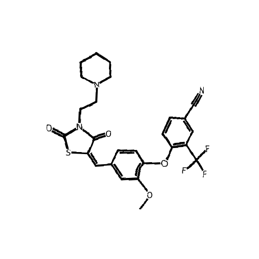 COc1cc(C=C2SC(=O)N(CCN3CCCCC3)C2=O)ccc1Oc1ccc(C#N)cc1C(F)(F)F